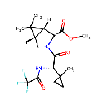 COC(=O)[C@@H]1[C@@H]2[C@H](CN1C(=O)[C@@H](NC(=O)C(F)(F)F)C1(C)CC1)C2(C)C